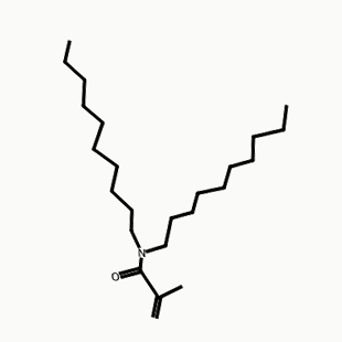 C=C(C)C(=O)N(CCCCCCCCCC)CCCCCCCCCC